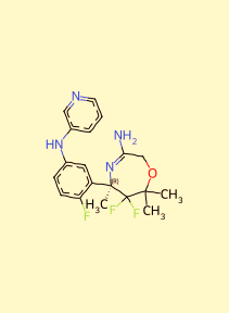 CC1(C)OCC(N)=N[C@](C)(c2cc(Nc3cccnc3)ccc2F)C1(F)F